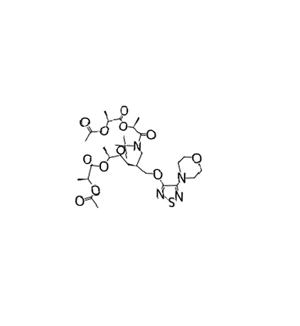 CC(=O)O[C@@H](C)C(=O)O[C@@H](C)C(=O)C[C@H](COc1nsnc1N1CCOCC1)CN(C(=O)[C@H](C)OC(=O)[C@H](C)OC(C)=O)C(C)(C)C